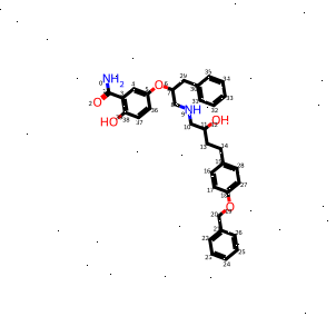 NC(=O)c1cc(OC(CNCC(O)CCc2ccc(OCc3ccccc3)cc2)Cc2ccccc2)ccc1O